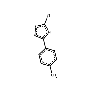 Cc1ccc(-c2csc(Cl)n2)cc1